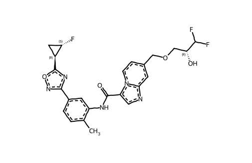 Cc1ccc(-c2noc([C@H]3C[C@@H]3F)n2)cc1NC(=O)c1cnc2cc(COC[C@@H](O)C(F)F)ccn12